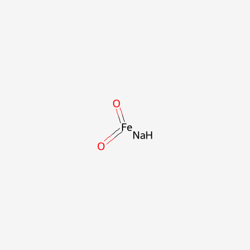 [NaH].[O]=[Fe]=[O]